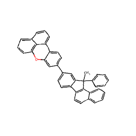 CC1(c2ccccc2)c2cc(-c3ccc4c(c3)Oc3cccc5cccc-4c35)ccc2-c2ccc3ccccc3c21